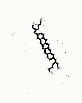 CCCCC(CC)Cc1ccc2cc3cc4cc5cc(CC(CC)CCCC)ccc5cc4cc3cc2c1